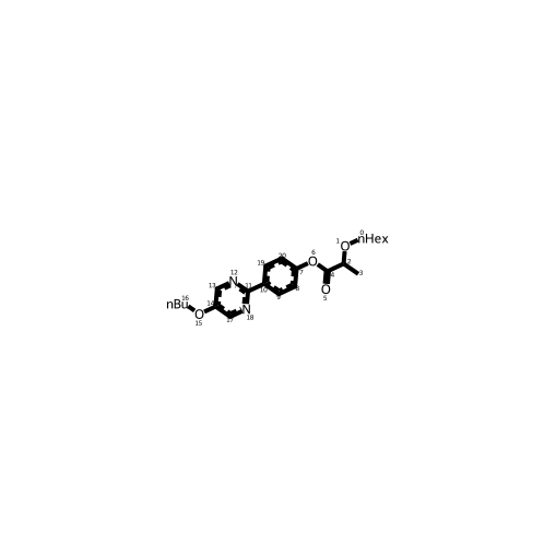 CCCCCCOC(C)C(=O)Oc1ccc(-c2ncc(OCCCC)cn2)cc1